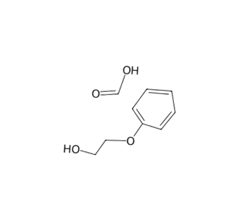 O=CO.OCCOc1ccccc1